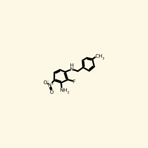 Cc1ccc(CNc2ccc([N+](=O)[O-])c(N)c2F)cc1